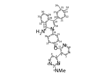 CNc1nccc(-c2cccnc2Oc2ccc(N3C=C(c4ccc(C)c(C)c4)c4ccccc4C3N)cc2)n1